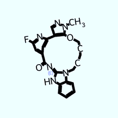 Cn1ncc2c1OCCCCCN1/C(=N/C(=O)c3cc(F)nc-2c3)Nc2ccccc21